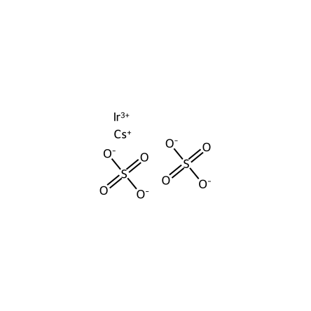 O=S(=O)([O-])[O-].O=S(=O)([O-])[O-].[Cs+].[Ir+3]